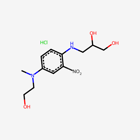 CN(CCO)c1ccc(NCC(O)CO)c([N+](=O)[O-])c1.Cl